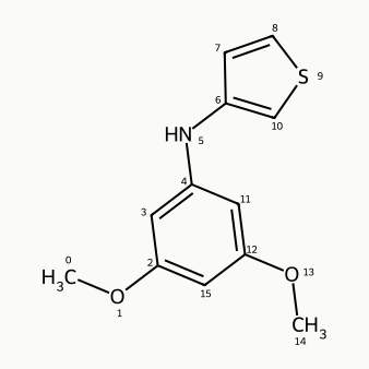 COc1cc(Nc2ccsc2)cc(OC)c1